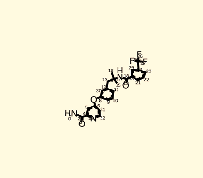 CNC(=O)c1cc(Oc2cccc(CC(C)(C)NC(=O)c3cccc(C(F)(F)F)c3)c2)ccn1